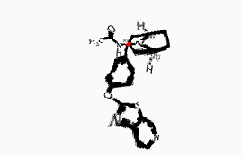 CC(=O)N[C@H]1C[C@H]2CC[C@@H](C1)N2Cc1ccc(Oc2nc3ccncc3s2)cc1